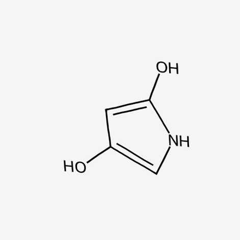 Oc1c[nH]c(O)c1